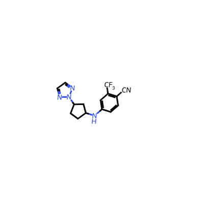 N#Cc1ccc(NC2CCC(n3nccn3)C2)cc1C(F)(F)F